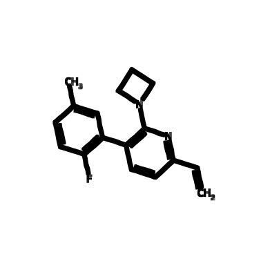 C=Cc1ccc(-c2cc(C)ccc2F)c(N2CCC2)n1